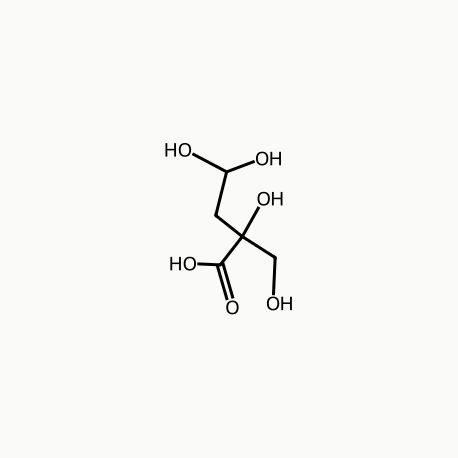 O=C(O)C(O)(CO)CC(O)O